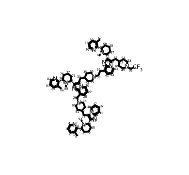 Cc1cccnc1[C@@H]1CCC[C@H](c2nc3ccccn3c2CC2CCN(Cc3cccn4c(CC5CCN(CCc6cccn7c(CC8CCN(CC(F)(F)F)CC8)c([C@H]8CCC[C@@H](c9ncccc9C)N8C)nc67)CC5)c([C@H]5CCC[C@@H](c6ncccc6C)N5C)nc34)CC2)N1C